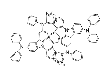 FC(F)(F)c1ccc(-n2c3ccc(N(c4ccccc4)c4ccccc4)cc3c3cc(N(c4ccccc4)c4ccccc4)ccc32)c(-c2ccc(-c3cc(C(F)(F)F)ccc3-n3c4ccc(N(c5ccccc5)c5ccccc5)cc4c4cc(N(c5ccccc5)c5ccccc5)ccc43)cc2)c1